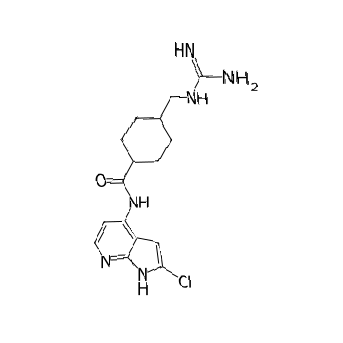 N=C(N)NCC1CCC(C(=O)Nc2ccnc3[nH]c(Cl)cc23)CC1